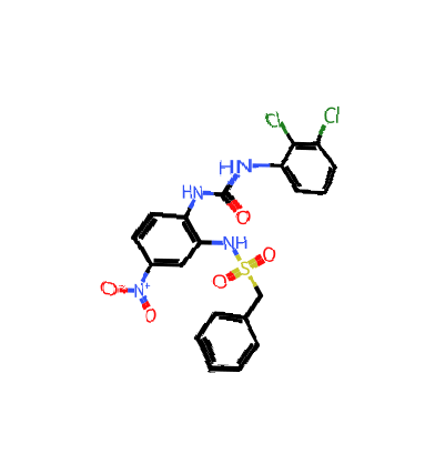 O=C(Nc1ccc([N+](=O)[O-])cc1NS(=O)(=O)Cc1ccccc1)Nc1cccc(Cl)c1Cl